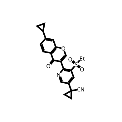 CCS(=O)(=O)c1cc(C2(C#N)CC2)cnc1-c1coc2cc(C3CC3)ccc2c1=O